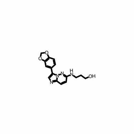 OCCCNc1ccc2ncc(-c3ccc4c(c3)OCO4)n2n1